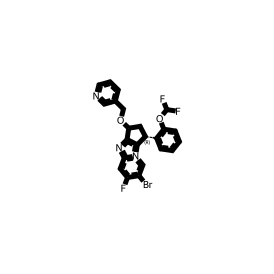 Fc1cc2nc3c(n2cc1Br)[C@@H](c1ccccc1OC(F)F)CC3OCc1cccnc1